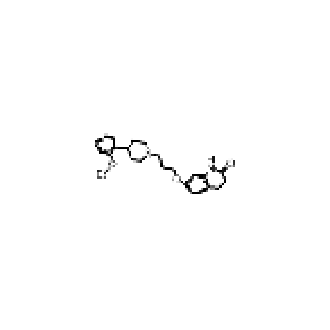 CCOc1ccccc1C1CCN(CCCOc2ccc3c(c2)NC(=O)CC3)CC1